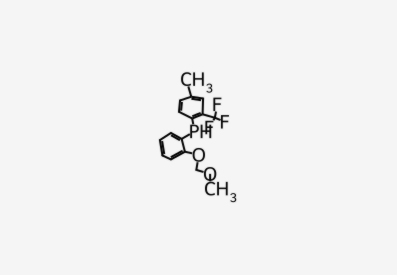 COCOc1ccccc1Pc1ccc(C)cc1C(F)(F)F